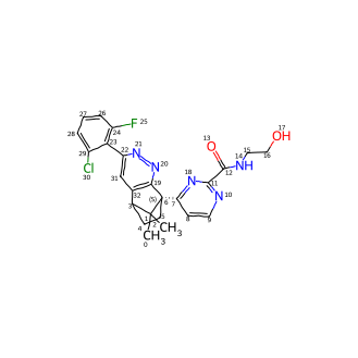 CC1(C)C2CC[C@]1(c1ccnc(C(=O)NCCO)n1)c1nnc(-c3c(F)cccc3Cl)cc12